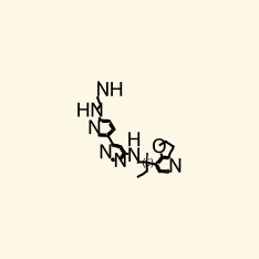 CC[C@](C)(CNc1cc(-c2ccc(NCCNC)nc2)ncn1)c1ccnc2c1OCC2